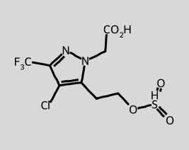 O=C(O)Cn1nc(C(F)(F)F)c(Cl)c1CCO[SH](=O)=O